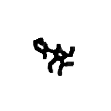 CCc1c(C(=O)O)c(C=O)n(C)c1-c1ncccc1C